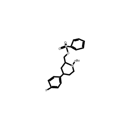 CCCCN1CCC(c2ccc(F)cc2)CC1COS(=O)(=O)c1ccccc1